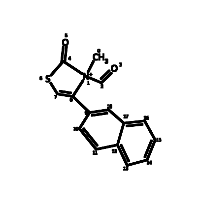 C[N+]1(C=O)C(=O)SC=C1c1ccc2ccccc2c1